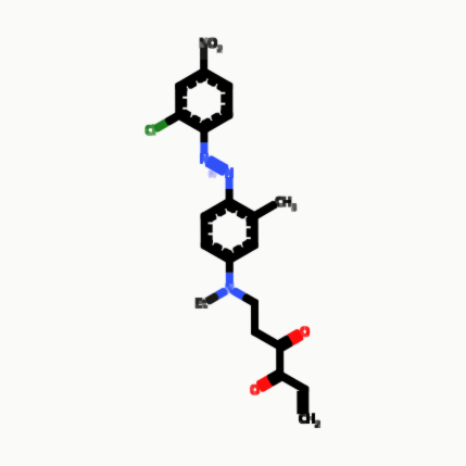 C=CC(=O)C(=O)CCN(CC)c1ccc(/N=N/c2ccc([N+](=O)[O-])cc2Cl)c(C)c1